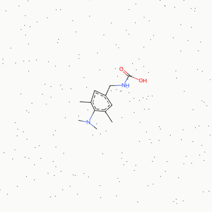 Cc1cc(CNC(=O)O)cc(C)c1N(C)C